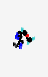 CC1CC(c2cc3c(-c4cc(OCc5cc(F)cc(F)c5)ccc4F)ccnc3[nH]2)=CCN1